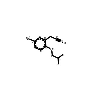 CC(C)COc1ccc(Br)cc1CC#N